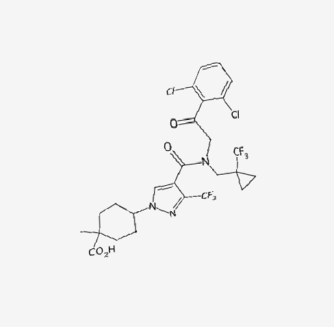 CC1(C(=O)O)CCC(n2cc(C(=O)N(CC(=O)c3c(Cl)cccc3Cl)CC3(C(F)(F)F)CC3)c(C(F)(F)F)n2)CC1